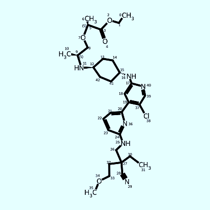 CCOC(=O)[C@H](C)OC[C@H](C)N[C@H]1CC[C@H](Nc2cc(-c3cccc(NCC(C#N)(CC)CCOC)n3)c(Cl)cn2)CC1